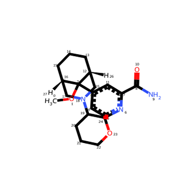 COC1(c2ccnc(C(N)=O)c2)[C@@H]2CCC[C@H]1CN(C1CCCOC1)C2